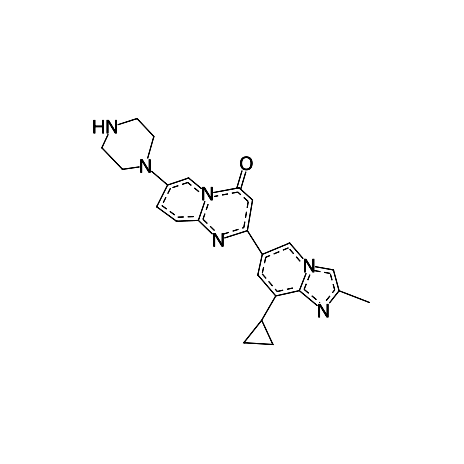 Cc1cn2cc(-c3cc(=O)n4cc(N5CCNCC5)ccc4n3)cc(C3CC3)c2n1